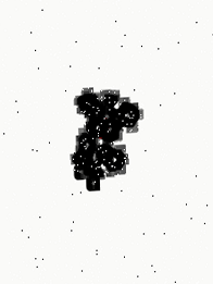 Cl[C]1(Cl)[CH2][Zr]1([C@H]1C=CC2=C1CCCC2)[C@H]1C=CC2=C1CCCC2.c1ccc2c(c1)-c1ccccc1[CH]2[Zr]1([CH]2c3ccccc3-c3ccccc32)[CH2][CH2]1